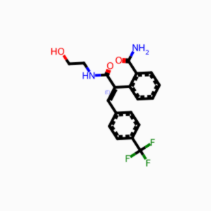 NC(=O)c1ccccc1/C(=C\c1ccc(C(F)(F)F)cc1)C(=O)NCCO